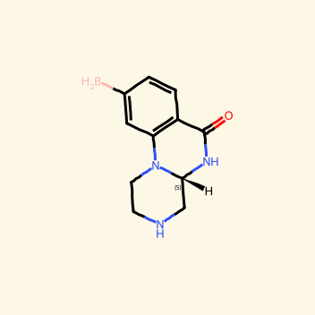 Bc1ccc2c(c1)N1CCNC[C@H]1NC2=O